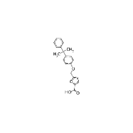 CC(C)(c1ccccc1)c1ccc(OCc2ccc(C(=O)O)o2)cc1